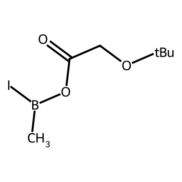 CB(I)OC(=O)COC(C)(C)C